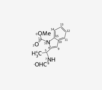 COC(=O)n1c(C(C)N[C]=O)cc2ccccc21